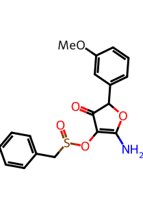 COc1cccc(C2OC(N)=C(OS(=O)Cc3ccccc3)C2=O)c1